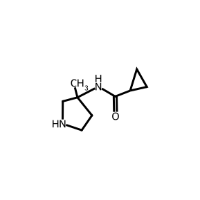 CC1(NC(=O)C2CC2)CCNC1